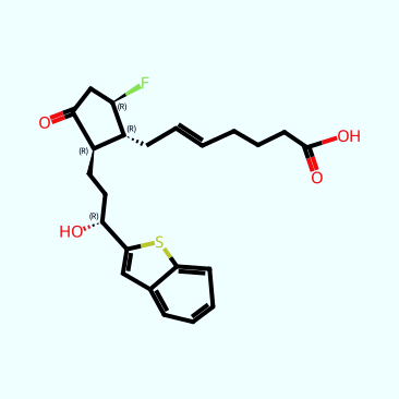 O=C(O)CCCC=CC[C@H]1[C@H](F)CC(=O)[C@@H]1CC[C@@H](O)c1cc2ccccc2s1